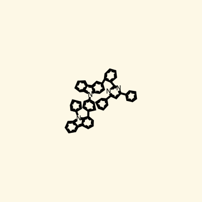 c1ccc(-c2cc(-c3ccccc3)nc(-c3ccccc3-c3ccc4c(c3)c3ccccc3n4-c3ccc(-c4cccc5c6ccccc6n(-c6ccccc6)c45)cc3)n2)cc1